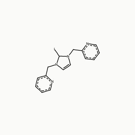 IC1N(Cc2ccccn2)C=CN1Cc1ccccn1